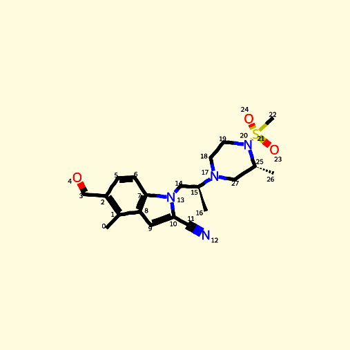 Cc1c(C=O)ccc2c1cc(C#N)n2C[C@H](C)N1CCN(S(C)(=O)=O)[C@H](C)C1